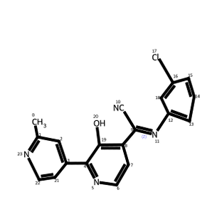 Cc1cc(-c2nccc(/C(C#N)=N/c3cccc(Cl)c3)c2O)ccn1